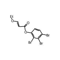 CCOC=CC(=O)Oc1ccc(Br)c(Br)c1Br